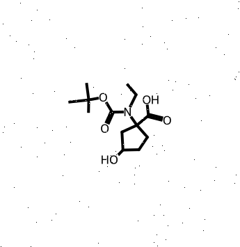 CCN(C(=O)OC(C)(C)C)C1(C(=O)O)CCC(O)C1